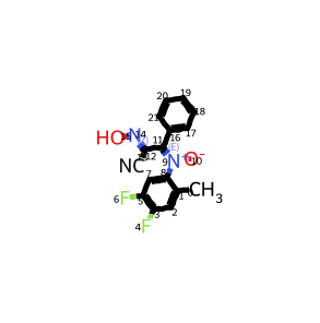 Cc1cc(F)c(F)cc1/[N+]([O-])=C(\C(C#N)=N\O)c1ccccc1